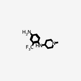 CN1CCC(Nc2ccc(N)cc2C(F)(F)F)CC1